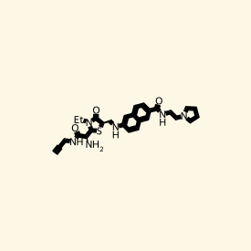 C#CCNC(=O)[C@@H](N)C1S[C@H](CNc2ccc3cc(C(=O)NCCN4CCCC4)ccc3c2)C(=O)N1CC